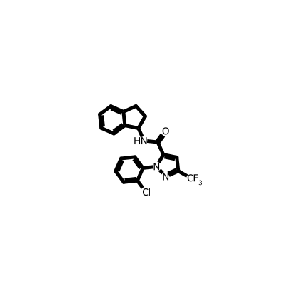 O=C(NC1CCc2ccccc21)c1cc(C(F)(F)F)nn1-c1ccccc1Cl